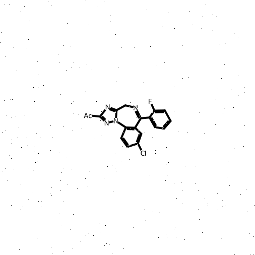 CC(=O)c1nc2n(n1)-c1ccc(Cl)cc1C(c1ccccc1F)=NC2